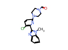 Cn1c(-c2nc(N3CCN(C=O)CC3)ccc2Cl)nc2ccccc21